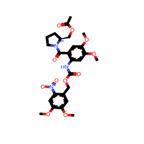 COc1cc(COC(=O)Nc2cc(OC)c(OC)cc2C(=O)N2CCC[C@H]2COC(C)=O)c([N+](=O)[O-])cc1OC